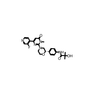 Cn1c(N2CCO[C@@H](c3ccc(NC(=O)C(C)(C)O)cc3)C2)nc(-c2ccncc2F)cc1=O